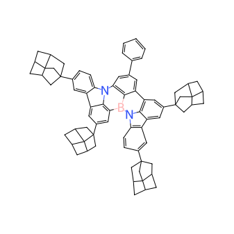 c1ccc(-c2cc3c4c(c2)-n2c5ccc(C67CC8CC9CC(C6)C98C7)cc5c5cc(C67CC8CC9CC(C6)C987)cc(c52)B4n2c4ccc(C56CC7CC8CC(C5)C87C6)cc4c4cc(C56CC7CC8CC(C5)C87C6)cc-3c42)cc1